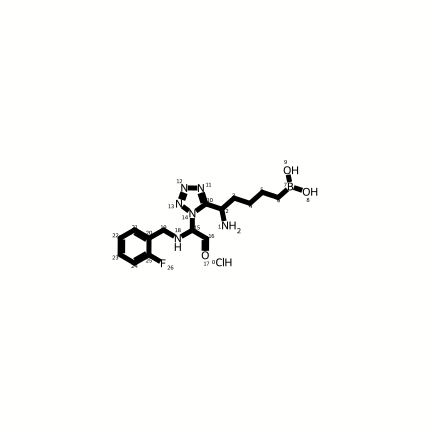 Cl.NC(CCCCB(O)O)c1nnnn1C(C=O)NCc1ccccc1F